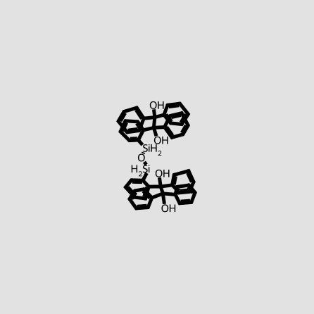 OC(c1ccccc1)(c1ccccc1)C(O)(c1ccccc1)c1ccccc1[SiH2]O[SiH2]c1ccccc1C(O)(c1ccccc1)C(O)(c1ccccc1)c1ccccc1